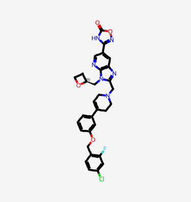 O=c1[nH]c(-c2cnc3c(c2)nc(CN2CC=C(c4cccc(OCc5ccc(Cl)cc5F)c4)CC2)n3C[C@@H]2CCO2)no1